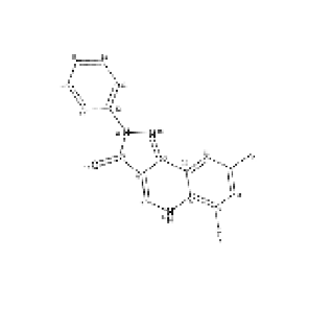 Cc1cc(F)c2[nH]cc3c(=O)n(-c4ccccc4)nc-3c2c1